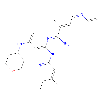 C=C\N=C/C=C(C)/C(N)=N/C(=C\C(=C)NC1CCOCC1)NC(=N)/C=C(/C)CC